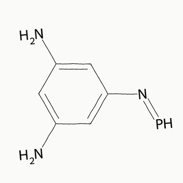 Nc1cc(N)cc(N=P)c1